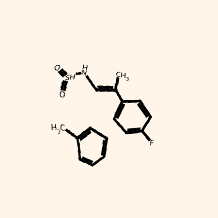 CC(=CN[SH](=O)=O)c1ccc(F)cc1.Cc1ccccc1